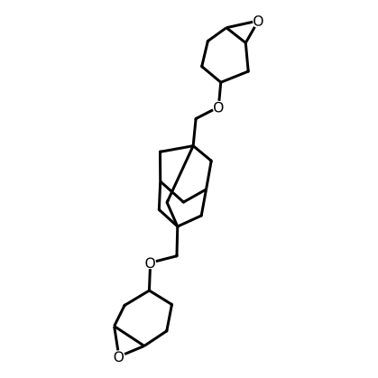 C1C2CC3(COC4CCC5OC5C4)CC1CC(COC1CCC4OC4C1)(C2)C3